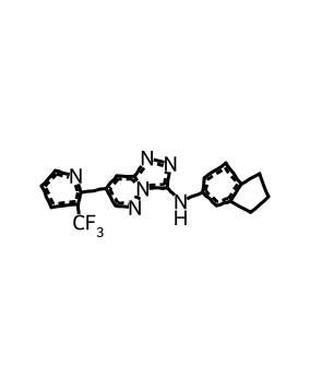 FC(F)(F)c1cccnc1-c1cnn2c(Nc3ccc4c(c3)CCC4)nnc2c1